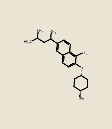 CC(CC(N)C(=O)O)c1ccc2c(C(F)(F)F)c(O[C@H]3CC[C@H](C(C)(C)C)CC3)ccc2c1